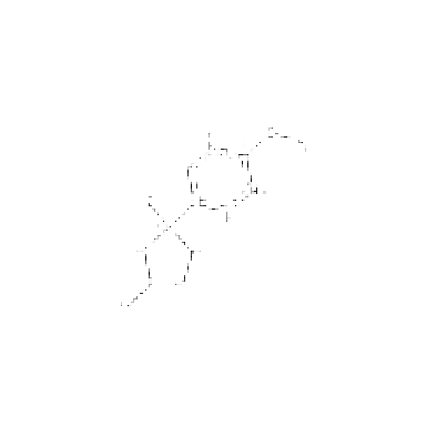 CCCC(C)(CC)c1cnc(OC)nc1